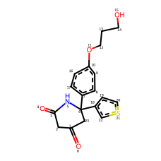 O=C1CC(=O)NC(c2ccc(OCCCO)cc2)(c2ccsc2)C1